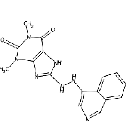 Cn1c(=O)c2[nH]c(NNc3nncc4ccccc34)nc2n(C)c1=O